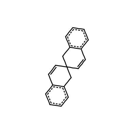 C1=CC2(C=Cc3ccccc3C2)Cc2ccccc21